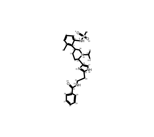 Cc1cccc(NS(C)(=O)=O)c1C1CCC(c2c[nH]c(CCNC(=O)c3ccccc3)n2)N(C(C)I)C1